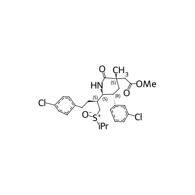 COC(=O)C[C@]1(C)C[C@H](c2cccc(Cl)c2)[C@@H]([C@H](CCc2ccc(Cl)cc2)C[S+]([O-])C(C)C)NC1=O